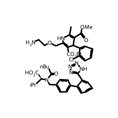 CCCCC(=O)N(Cc1ccc(-c2ccccc2-c2nnn[nH]2)cc1)[C@H](C(=O)O)C(C)C.CCOC(=O)C1=C(COCCN)NC(C)=C(C(=O)OC)C1c1ccccc1Cl